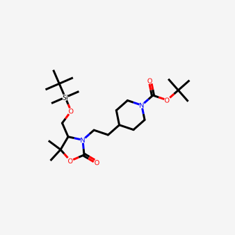 CC(C)(C)OC(=O)N1CCC(CCN2C(=O)OC(C)(C)C2CO[Si](C)(C)C(C)(C)C)CC1